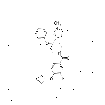 Cn1ncc2c1-c1ccccc1OC21CCN(C(=O)c2ccc(OC3COC3)c(F)c2)CC1